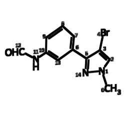 Cn1cc(Br)c(-c2cccc(NC=O)c2)n1